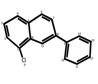 Clc1cccc2ccc(-c3cc[c]cc3)cc12